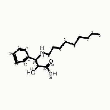 CCCCCCCCCNC(c1ccccc1)C(O)C(=O)O